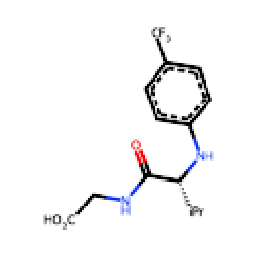 CC(C)[C@@H](Nc1ccc(C(F)(F)F)cc1)C(=O)NCC(=O)O